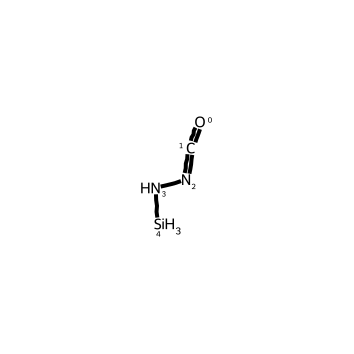 O=C=NN[SiH3]